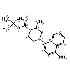 CC1CN(c2ccc(N)c3ccccc23)CCN1C(=O)OC(C)(C)C